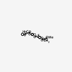 C=C(CC(=O)OC)C(=O)Oc1ccc(/C=C/C(=O)Oc2ccc(OC(=O)C(=C)CC(=O)OC3CCCCC3)cc2)c(F)c1